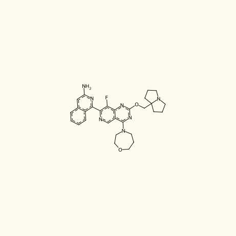 Nc1cc2ccccc2c(-c2ncc3c(N4CCCOCC4)nc(OCC45CCCN4CCC5)nc3c2F)n1